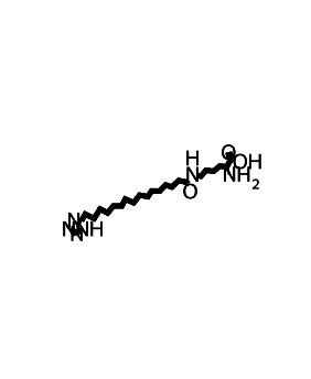 N[C@@H](CCCCNC(=O)CCCCCCCCCCCCCCCc1nnn[nH]1)C(=O)O